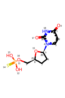 O=c1ccn([C@H]2CC[C@@H](COP(O)(O)=S)O2)c(=O)[nH]1